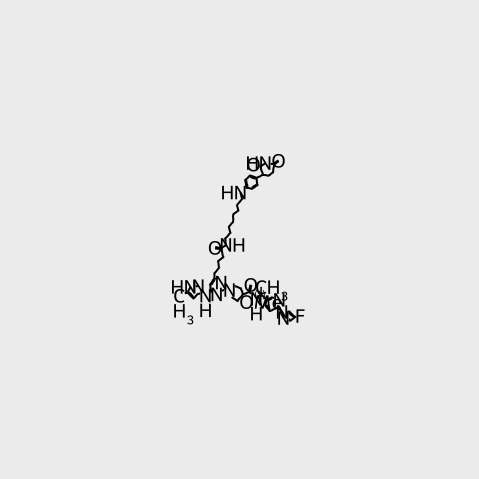 COC1(C(=O)N[C@@H](C)c2ccc(-n3cc(F)cn3)nc2)CCN(c2nc(CCCCC(=O)NCCCCCCCCNc3ccc(C4CCC(=O)NC4=O)cc3)cc(Nc3cc(C)[nH]n3)n2)CC1